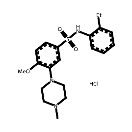 CCc1ccccc1NS(=O)(=O)c1ccc(OC)c(N2CCN(C)CC2)c1.Cl